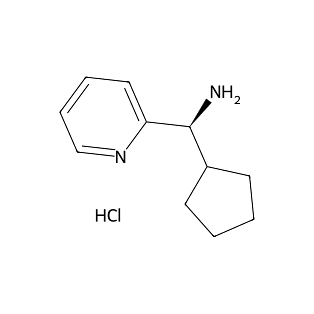 Cl.N[C@H](c1ccccn1)C1CCCC1